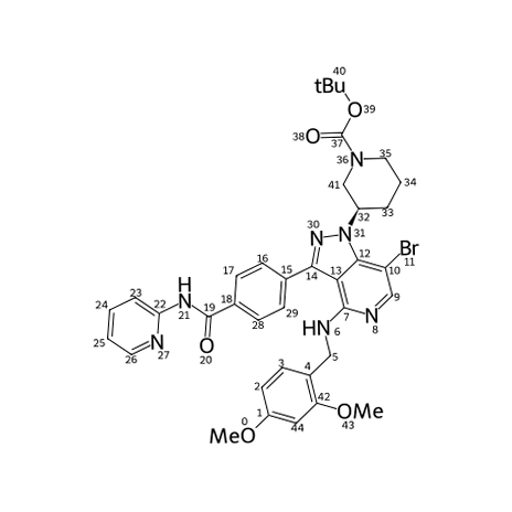 COc1ccc(CNc2ncc(Br)c3c2c(-c2ccc(C(=O)Nc4ccccn4)cc2)nn3[C@@H]2CCCN(C(=O)OC(C)(C)C)C2)c(OC)c1